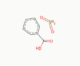 O=C(O)c1ccccc1.O=[SH2]=O